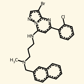 CN(CCCNc1cc(-c2ccccc2Cl)nc2c(Br)cnn12)Cc1ccc2ccccc2c1